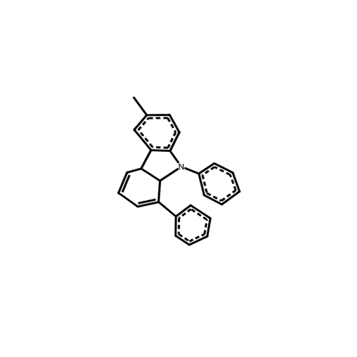 Cc1ccc2c(c1)C1C=CC=C(c3ccccc3)C1N2c1ccccc1